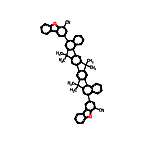 CC1(C)c2cc3c(cc2-c2cc4c(cc21)-c1c(cc(-c2cc(C#N)c5oc6ccccc6c5c2)c2ccccc12)C4(C)C)C(C)(C)c1cc(-c2cc(C#N)c4oc5ccccc5c4c2)c2ccccc2c1-3